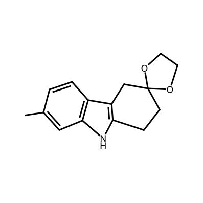 Cc1ccc2c3c([nH]c2c1)CCC1(C3)OCCO1